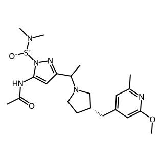 COc1cc(C[C@@H]2CCN(C(C)c3cc(NC(C)=O)n([S+]([O-])N(C)C)n3)C2)cc(C)n1